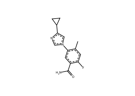 Cc1cc(F)c(C(N)=O)cc1-n1cnc(C2CC2)c1